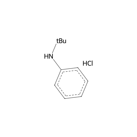 CC(C)(C)Nc1ccccc1.Cl